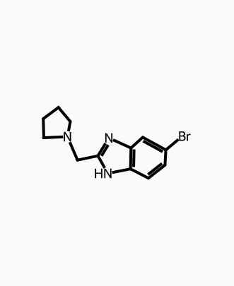 Brc1ccc2[nH]c(CN3CCCC3)nc2c1